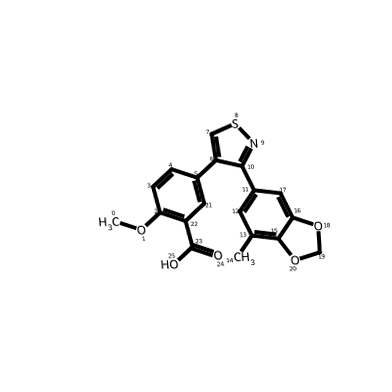 COc1ccc(-c2csnc2-c2cc(C)c3c(c2)OCO3)cc1C(=O)O